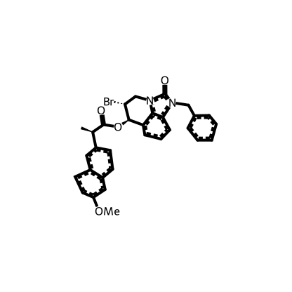 COc1ccc2cc([C@@H](C)C(=O)O[C@@H]3c4cccc5c4n(c(=O)n5Cc4ccccc4)C[C@H]3Br)ccc2c1